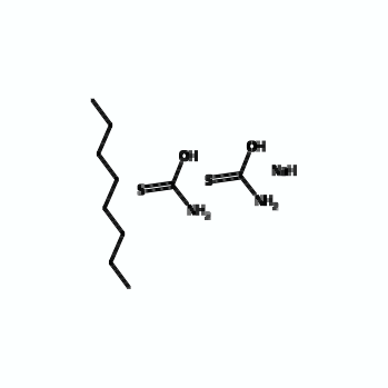 CCCCCCCC.NC(O)=S.NC(O)=S.[NaH]